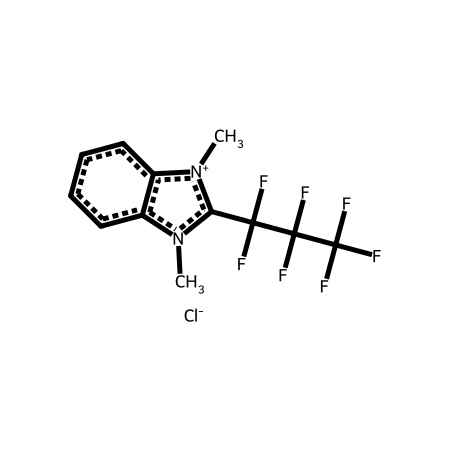 Cn1c(C(F)(F)C(F)(F)C(F)(F)F)[n+](C)c2ccccc21.[Cl-]